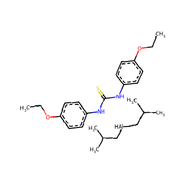 CC(C)[CH2][AlH][CH2]C(C)C.CCOc1ccc(NC(=S)Nc2ccc(OCC)cc2)cc1